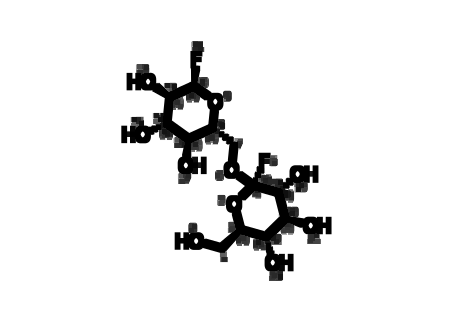 OC[C@H]1O[C@@](F)(OC[C@H]2O[C@H](F)[C@H](O)[C@@H](O)[C@@H]2O)[C@H](O)[C@@H](O)[C@@H]1O